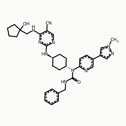 Cn1cc(-c2ccc(N(C(=O)NCc3ccccc3)[C@H]3CC[C@H](Nc4ncc(C#N)c(NCC5(O)CCCC5)n4)CC3)nc2)cn1